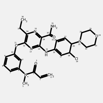 C=CC(=O)N(C)c1cccc(Oc2nc(NC3=CC(Cl)C(N4CCOCC4)C=C3)c(C(N)=O)nc2CC)c1